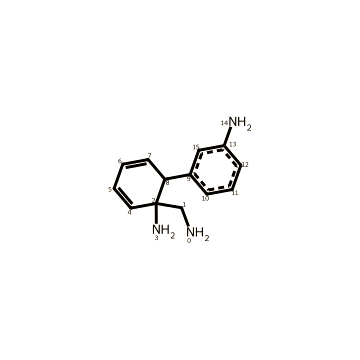 NCC1(N)C=CC=CC1c1cccc(N)c1